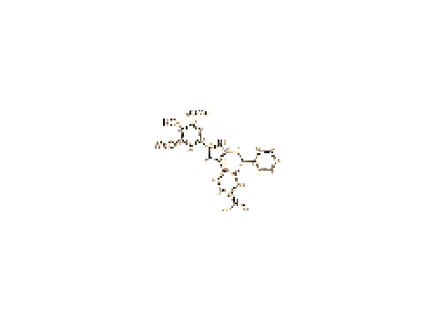 COc1cc(C2=NC(CCc3ccccc3)=C(c3ccc(N(C)C)cc3)C2)cc(OC)c1O